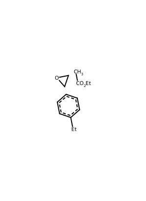 C1CO1.CCOC(C)=O.CCc1ccccc1